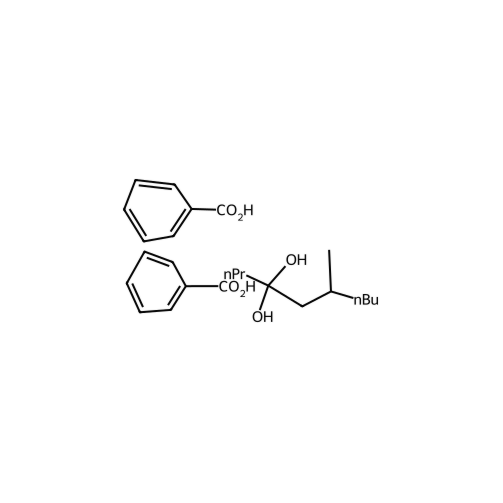 CCCCC(C)CC(O)(O)CCC.O=C(O)c1ccccc1.O=C(O)c1ccccc1